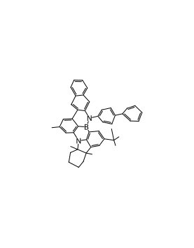 Cc1cc2c3c(c1)N1c4c(cc(C(C)(C)C)cc4C4(C)CCCCC14C)B3N(c1ccc(-c3ccccc3)cc1)c1cc3ccccc3cc1-2